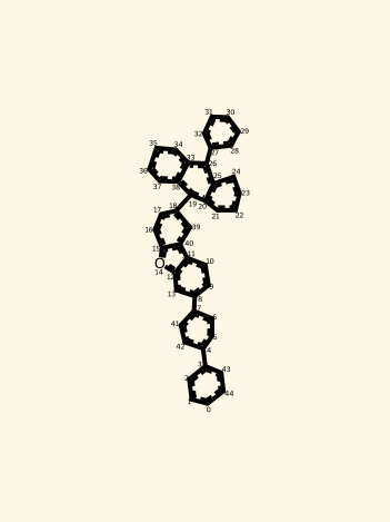 c1ccc(-c2ccc(-c3ccc4c(c3)oc3ccc(-c5c6ccccc6c(-c6ccccc6)c6ccccc56)cc34)cc2)cc1